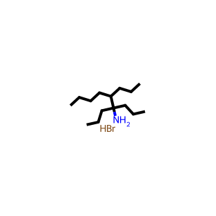 Br.CCCCC(CCC)C(N)(CCC)CCC